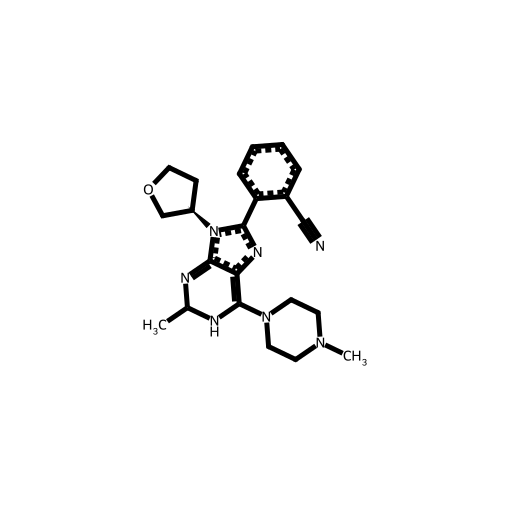 CC1N=c2c(nc(-c3ccccc3C#N)n2[C@@H]2CCOC2)=C(N2CCN(C)CC2)N1